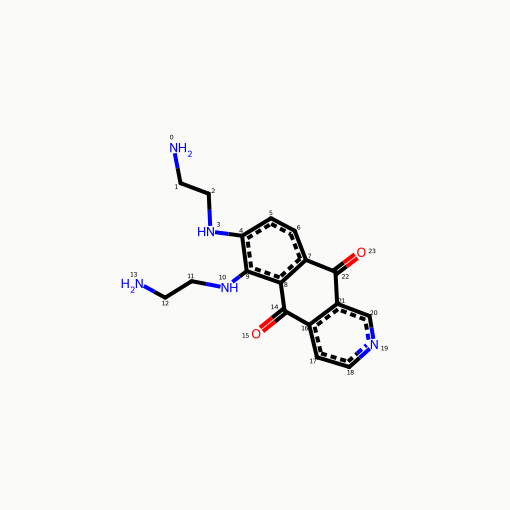 NCCNc1ccc2c(c1NCCN)C(=O)c1ccncc1C2=O